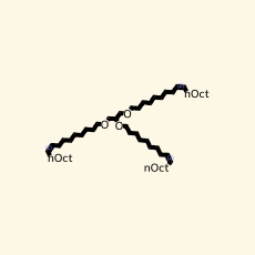 CCCCCCCC/C=C\CCCCCCCCOCC(COCCCCCCCC/C=C\CCCCCCCC)OCCCCCCCC/C=C\CCCCCCCC